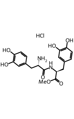 COC(=O)[C@H](Cc1ccc(O)c(O)c1)NC(=O)[C@@H](N)Cc1ccc(O)c(O)c1.Cl